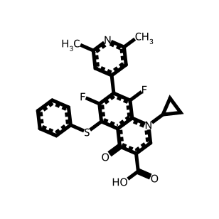 Cc1cc(-c2c(F)c(Sc3ccccc3)c3c(=O)c(C(=O)O)cn(C4CC4)c3c2F)cc(C)n1